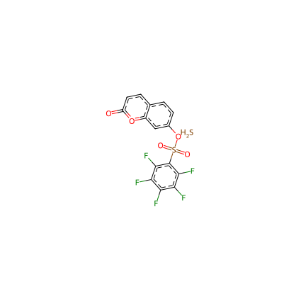 O=c1ccc2ccc(OS(=O)(=O)c3c(F)c(F)c(F)c(F)c3F)cc2o1.S